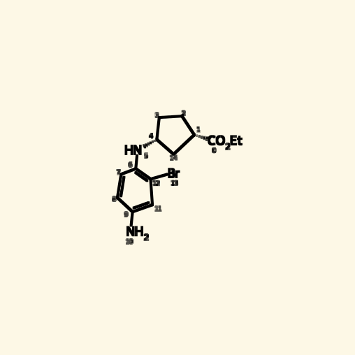 CCOC(=O)[C@H]1CC[C@@H](Nc2ccc(N)cc2Br)C1